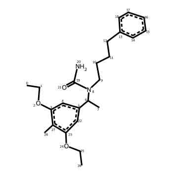 CCOc1cc(C(C)N(CCCCc2ccccc2)C(N)=O)cc(OCC)c1C